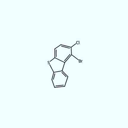 Clc1ccc2sc3ccccc3c2c1Br